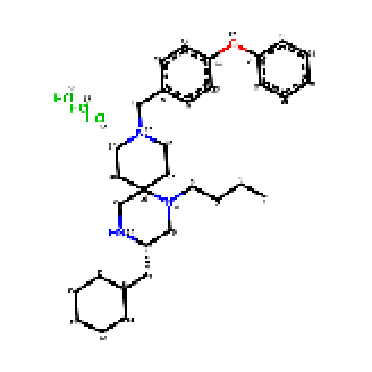 CCCCN1C[C@H](CC2CCCCC2)NCC12CCN(Cc1ccc(Oc3ccccc3)cc1)CC2.Cl.Cl.Cl